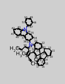 C#C/C=C\C1=C(C)C2(C3=C(C=CCC3)c3ccccc32)c2cccc(N(C(/C=C\C)=C/C=C)c3ccc4c(c3)c3ccccc3n4-c3ccccc3)c21